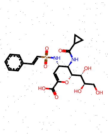 O=C(O)C1=C[C@H](NS(=O)(=O)C=Cc2ccccc2)[C@@H](NC(=O)C2CC2)[C@H]([C@H](O)[C@H](O)CO)O1